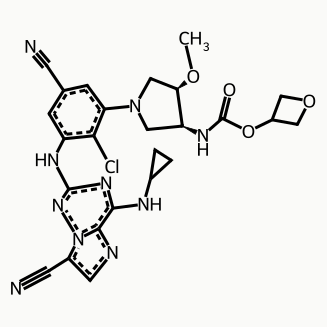 CO[C@@H]1CN(c2cc(C#N)cc(Nc3nc(NC4CC4)c4ncc(C#N)n4n3)c2Cl)C[C@@H]1NC(=O)OC1COC1